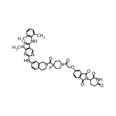 Cc1cccc(C)c1Nc1nn(C)c2nc(Nc3ccc4c(c3)CN(C(=O)C3(F)CCN(C(=O)COc5ccc6c(c5)C(=O)N(C5CCC(=O)NC5=O)C6=O)CC3)CC4)ncc12